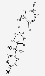 O=S(=O)(c1ccc(Br)cc1)C1CCN(CCc2ccc(F)cc2F)CC1